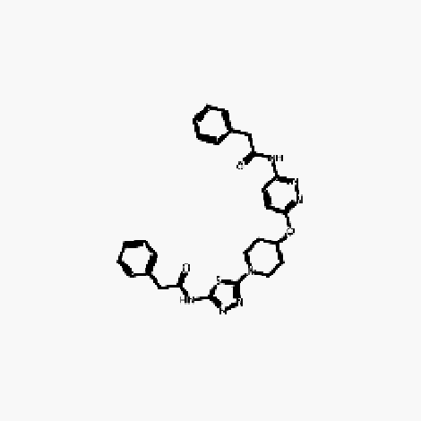 O=C(Cc1ccccc1)Nc1ccc(OC2CCN(c3nnc(NC(=O)Cc4ccccc4)s3)CC2)nn1